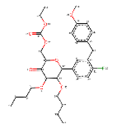 CCCCOC1C(=O)C(COC(=O)OCC)OC(c2ccc(F)c(Cc3ccc(OC)cc3)c2)C1OCCCC